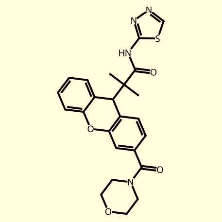 CC(C)(C(=O)Nc1nncs1)C1c2ccccc2Oc2cc(C(=O)N3CCOCC3)ccc21